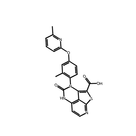 Cc1cccc(Oc2ccc(N3C(=O)Nc4ccnc5sc(C(=O)O)c3c45)c(C)c2)n1